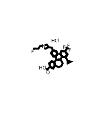 Cl.O=C(O)c1ccc2c(c1)CCCC(c1ccc(C(F)(F)F)cc1C1CC1)=C2c1ccc(CC2CN(CCCF)C2)cc1